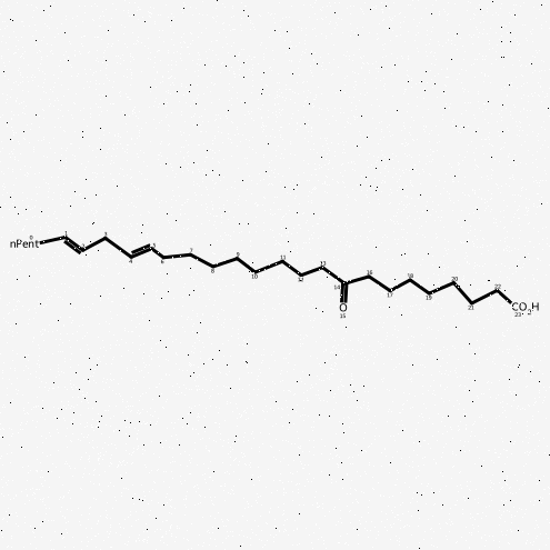 CCCCCC=CCC=CCCCCCCCCC(=O)CCCCCCCC(=O)O